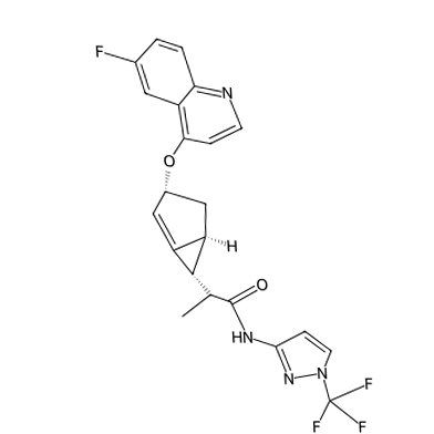 CC(C(=O)Nc1ccn(C(F)(F)F)n1)[C@@H]1C2=C[C@H](Oc3ccnc4ccc(F)cc34)C[C@H]21